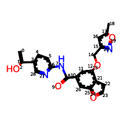 C=C(O)c1ccc(NC(=O)c2cc(OCc3cc(C)on3)c3ccoc3c2)nc1